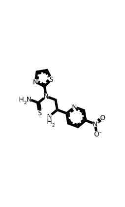 NC(=S)N(CC(N)c1ccc([N+](=O)[O-])cn1)c1nccs1